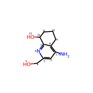 Nc1cc(CO)nc2c1CCCC2O